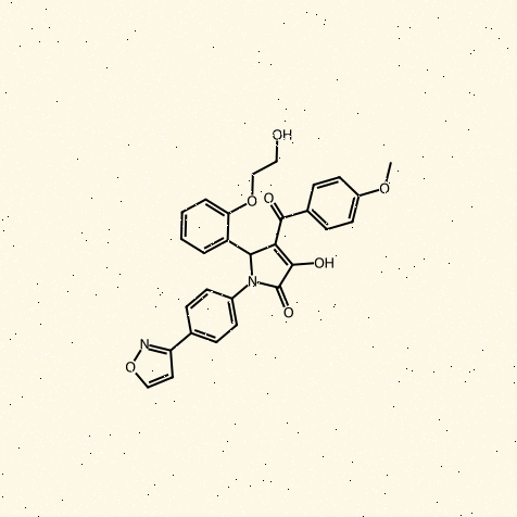 COc1ccc(C(=O)C2=C(O)C(=O)N(c3ccc(-c4ccon4)cc3)C2c2ccccc2OCCO)cc1